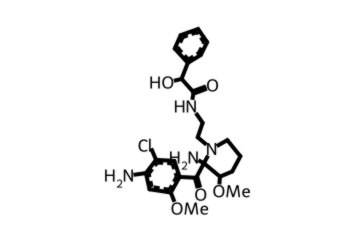 COc1cc(N)c(Cl)cc1C(=O)C1(N)C(OC)CCCN1CCNC(=O)C(O)c1ccccc1